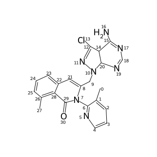 Cc1cccnc1-n1c(CN2N=C(Cl)C3C(N)=NC=NC32)cc2cccc(C)c2c1=O